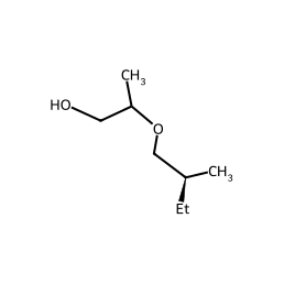 CC[C@H](C)COC(C)CO